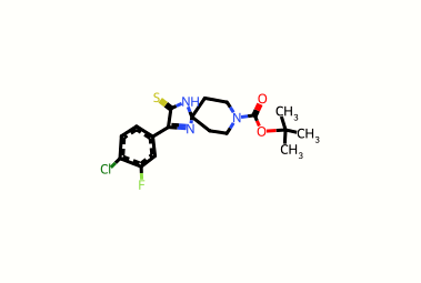 CC(C)(C)OC(=O)N1CCC2(CC1)N=C(c1ccc(Cl)c(F)c1)C(=S)N2